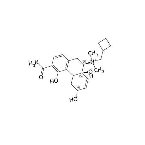 C[N+](C)(CC1CCC1)[C@@H]1Cc2ccc(C(N)=O)c(O)c2C2C[C@@H](O)C=C[C@]21O